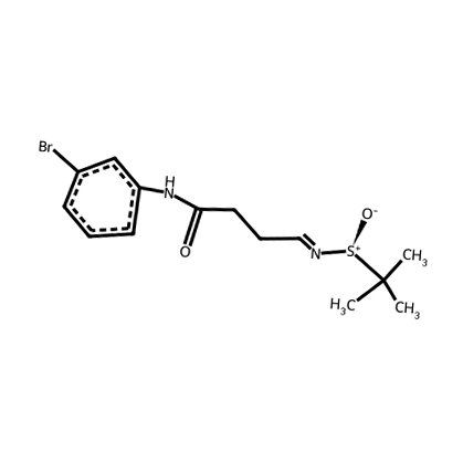 CC(C)(C)[S@+]([O-])/N=C/CCC(=O)Nc1cccc(Br)c1